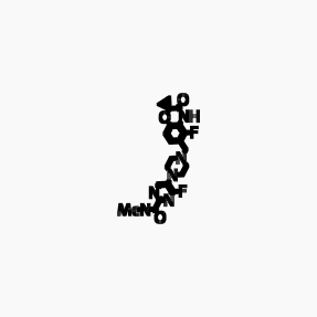 CNC(=O)c1ncc(N2CCN(Cc3ccc4c(c3F)NC(=O)C3(CC3)O4)CC2)c(F)n1